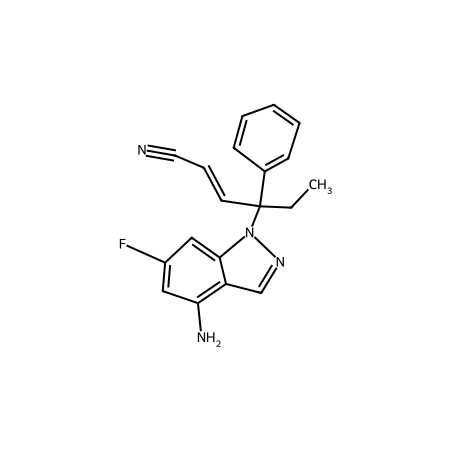 CCC(C=CC#N)(c1ccccc1)n1ncc2c(N)cc(F)cc21